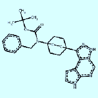 CC(C)(C)OC(=O)N(Cc1ccccc1)C12CCC(c3n[nH]c4cnc5[nH]ccc5c34)(CC1)CC2